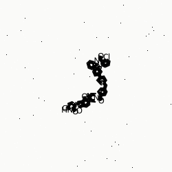 O=C1CC[C@H](N2Cc3c(ccc4c3OCC43CCN(C(=O)c4ccc(CN5CCC(c6ccc7c(c6)-n6c(nc(=O)c8c(Cl)cccc86)C76CCCCC6)CC5)cc4)CC3)C2=O)C(=O)N1